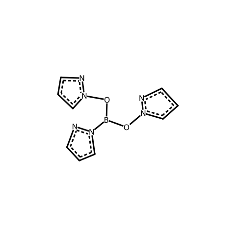 c1cnn(OB(On2cccn2)n2cccn2)c1